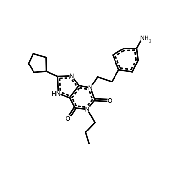 CCCn1c(=O)c2[nH]c(C3CCCC3)nc2n(CCc2ccc(N)cc2)c1=O